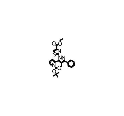 CCOC(=O)c1csc(-n2nc(-c3ccccc3)c(C)c2-c2cccn2C(=O)OC(C)(C)C)n1